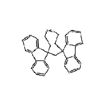 CC(=O)CCC1(CC2(CCC(C)=O)c3ccccc3-c3ccccc32)c2ccccc2-c2ccccc21